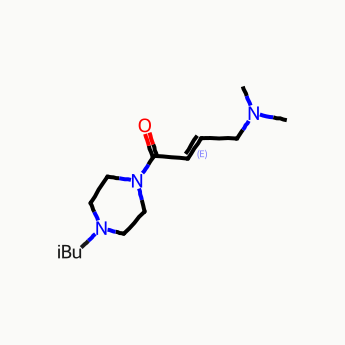 CCC(C)N1CCN(C(=O)/C=C/CN(C)C)CC1